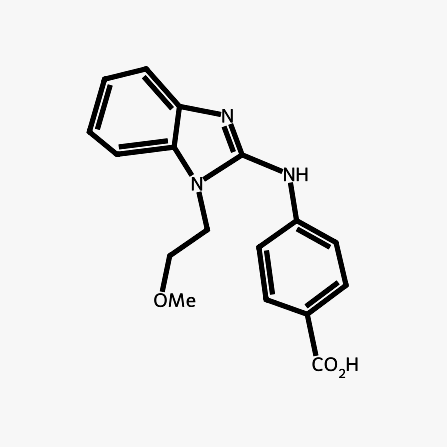 COCCn1c(Nc2ccc(C(=O)O)cc2)nc2ccccc21